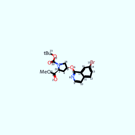 COC(=O)[C@@H]1C[C@@H](Oc2nccc3ccc(Br)cc23)CN1C(=O)OC(C)(C)C